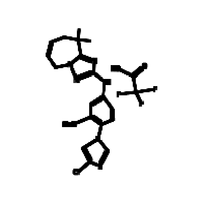 COc1cc(Nc2nc3n(n2)CC=CCC3(C)C)ccc1-n1cnc(Cl)c1.O=C(O)C(F)(F)F